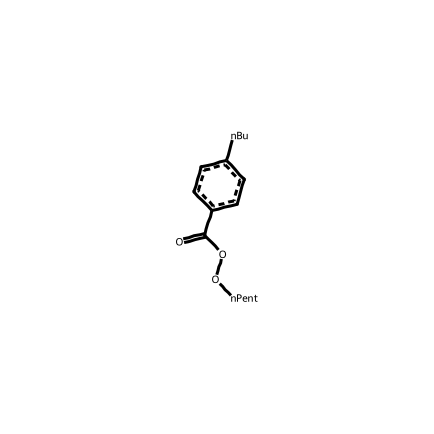 [CH2]CCCCOOC(=O)c1ccc(CCCC)cc1